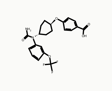 NC(=O)N(c1cccc(OC(F)(F)F)c1)[C@H]1CC[C@H](Oc2ccc(C(=O)O)cc2)CC1